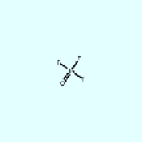 [O]=[Ta]([F])([F])[F]